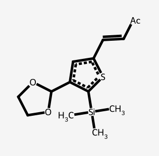 CC(=O)/C=C/c1cc(C2OCCO2)c([Si](C)(C)C)s1